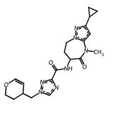 CN1C(=O)C(NC(=O)c2ncn(CC3C=COCC3)n2)CCn2nc(C3CC3)cc21